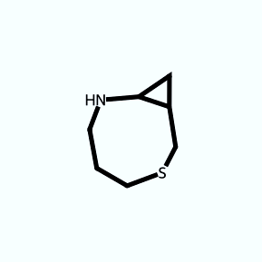 C1CNC2CC2CSC1